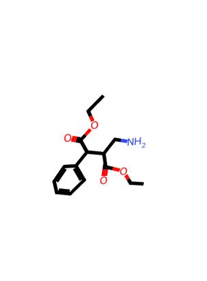 CCOC(=O)C(CN)C(C(=O)OCC)c1ccccc1